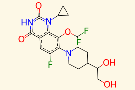 O=c1[nH]c(=O)n(C2CC2)c2c(OC(F)F)c(N3CCC(C(O)CO)CC3)c(F)cc12